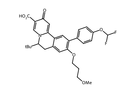 COCCCOc1cc2c(cc1-c1ccc(OC(F)F)cc1)-c1cc(=O)c(C(=O)O)cn1C(C(C)(C)C)C2